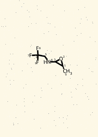 C[C@@H]1OC1NCC(F)(F)F